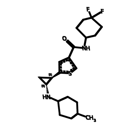 CC1CCC(N[C@@H]2C[C@H]2c2cc(C(=O)NC3CCC(F)(F)CC3)cs2)CC1